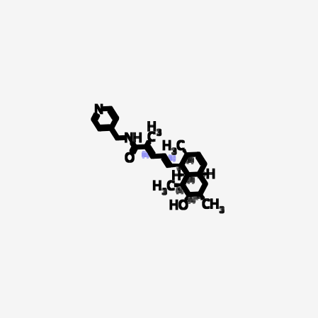 C/C(=C\C=C\[C@@H]1[C@@H]2[C@H](C)[C@@H](O)[C@H](C)C[C@@H]2C=C[C@H]1C)C(=O)NCc1ccncc1